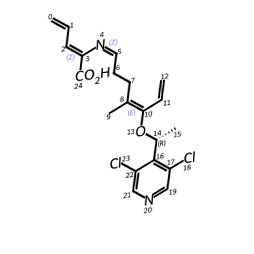 C=C/C=C(\N=C/CC/C(C)=C(\C=C)O[C@H](C)c1c(Cl)cncc1Cl)C(=O)O